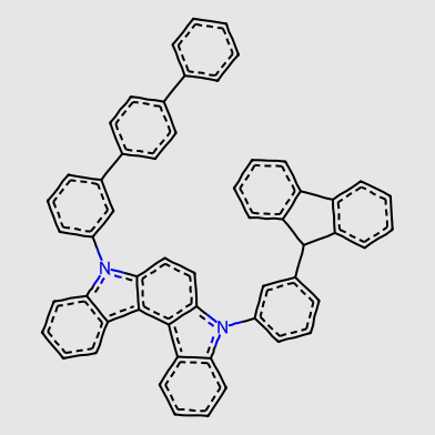 c1ccc(-c2ccc(-c3cccc(-n4c5ccccc5c5c6c7ccccc7n(-c7cccc(C8c9ccccc9-c9ccccc98)c7)c6ccc54)c3)cc2)cc1